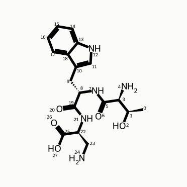 C[C@@H](O)[C@H](N)C(=O)N[C@@H](Cc1c[nH]c2ccccc12)C(=O)N[C@@H](CN)C(=O)O